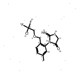 Cc1ccc(COCC(F)(F)Cl)c(N2C(=N)SCC2=O)c1